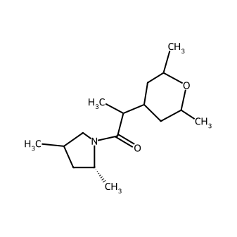 CC1C[C@@H](C)N(C(=O)C(C)C2CC(C)OC(C)C2)C1